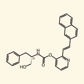 O=C(N[C@H](CO)Cc1ccccc1)Oc1cccnc1C=Cc1ccc2ccccc2c1